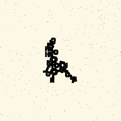 CC(C)Oc1ccc(-c2cn(COCC[Si](C)(C)C)c3nccc(Oc4ccc(NC(=O)NCC5(F)COC5)cc4C(F)(F)F)c23)cc1C#N